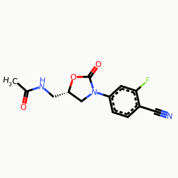 CC(=O)NC[C@H]1CN(c2ccc(C#N)c(F)c2)C(=O)O1